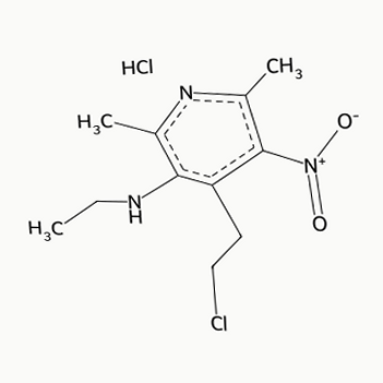 CCNc1c(C)nc(C)c([N+](=O)[O-])c1CCCl.Cl